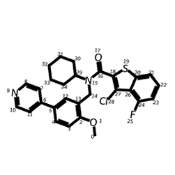 COc1ccc(-c2ccncc2)cc1CN(C(=O)c1sc2cccc(F)c2c1Cl)C1CCCCC1